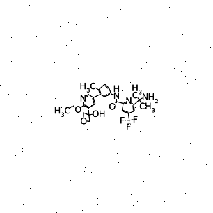 CCOc1ncc(-c2cc(NC(=O)c3cc(C(F)(F)F)cc(C(C)(C)N)n3)ccc2C)cc1C1(O)COC1